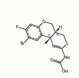 C[C@]12N=C(NC(=O)O)SC[C@H]1COc1cc(F)c(Br)cc12